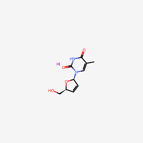 Cc1cn([C@H]2C=C[C@@H](CO)O2)c(=O)[nH]c1=O.I